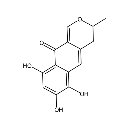 CC1CC2=Cc3c(O)c(O)cc(O)c3C(=O)C2=CO1